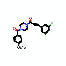 COc1ccc(C(=O)N2CCN(C(=O)C#Cc3cc(F)cc(F)c3)CC2)cc1